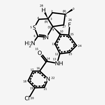 C[C@@H]1C[C@H]2CSC(N)=N[C@@]2(c2cc(NC(=O)c3ccc(Cl)cn3)ccc2F)C1